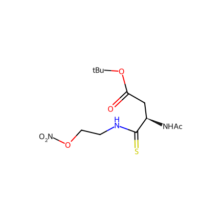 CC(=O)N[C@H](CC(=O)OC(C)(C)C)C(=S)NCCO[N+](=O)[O-]